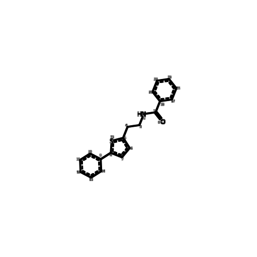 O=C(NCCc1ccc(-c2ccccc2)s1)c1ccccc1